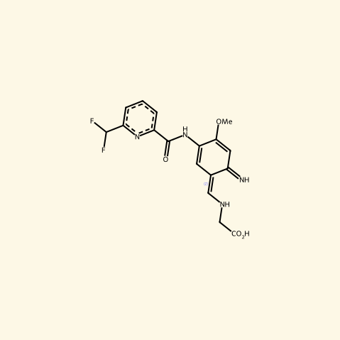 COC1=CC(=N)/C(=C\NCC(=O)O)C=C1NC(=O)c1cccc(C(F)F)n1